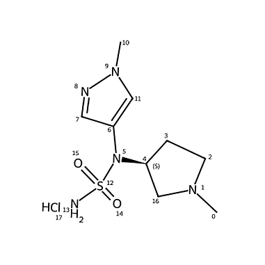 CN1CC[C@H](N(c2cnn(C)c2)S(N)(=O)=O)C1.Cl